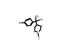 CC(O)(c1ccc(Br)cc1)C1CC[S+]([O-])CC1